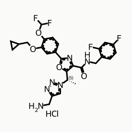 C[C@@H](c1oc(-c2ccc(OC(F)F)c(OCC3CC3)c2)nc1C(=O)NCc1ccc(F)cc1F)n1cc(CN)nn1.Cl